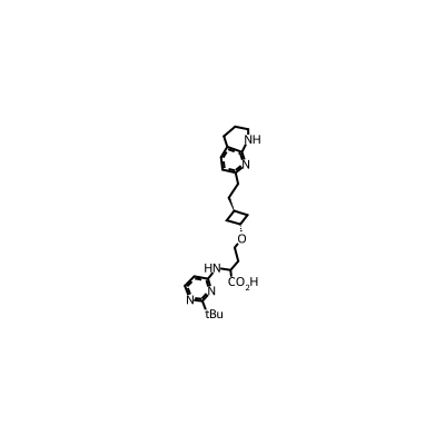 CC(C)(C)c1nccc(NC(CCO[C@H]2C[C@H](CCc3ccc4c(n3)NCCC4)C2)C(=O)O)n1